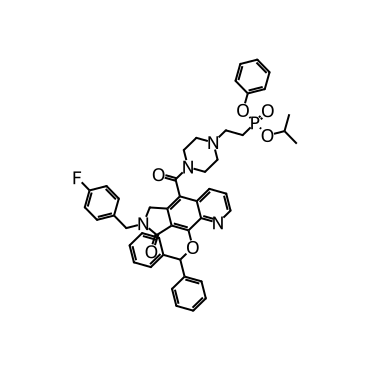 CC(C)OP(=O)(CCN1CCN(C(=O)c2c3c(c(OC(c4ccccc4)c4ccccc4)c4ncccc24)C(=O)N(Cc2ccc(F)cc2)C3)CC1)Oc1ccccc1